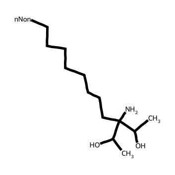 CCCCCCCCCCCCCCCCCC(N)(C(C)O)C(C)O